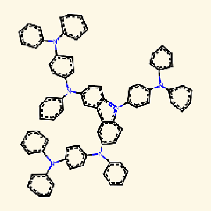 c1ccc(N(c2ccccc2)c2ccc(N(c3ccccc3)c3ccc4c(c3)c3cc(N(c5ccccc5)c5ccc(N(c6ccccc6)c6ccccc6)cc5)ccc3n4-c3ccc(N(c4ccccc4)c4ccccc4)cc3)cc2)cc1